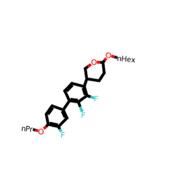 CCCCCCOC1CCC(c2ccc(-c3ccc(OCCC)c(F)c3)c(F)c2F)CO1